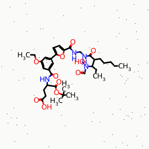 CCCCCC(C(=O)NCNC(=O)c1ccc(-c2cc(OCC)cc(C(=O)NC(CCC(=O)O)C(=O)OC(C)(C)C)c2)o1)C(CC)N(O)C=O